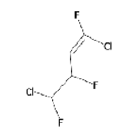 FC(Cl)=CC(F)C(F)Cl